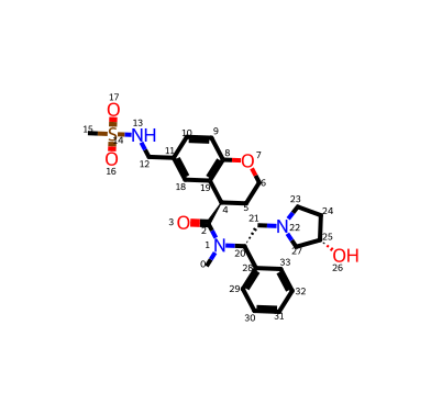 CN(C(=O)[C@@H]1CCOc2ccc(CNS(C)(=O)=O)cc21)[C@H](CN1CC[C@H](O)C1)c1ccccc1